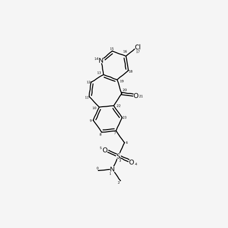 CN(C)S(=O)(=O)Cc1ccc2ccc3ncc(Cl)cc3c(=O)c2c1